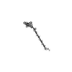 COCCOCCOCCOCCOCCOCCOCCOCCOC(=O)/C=C/c1ccc(-c2nc3c(=O)n(CC4CCCCC4)c(=O)n(CC4CCCCC4)c3[nH]2)cc1